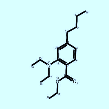 CCCCc1ccc(C(=O)OCC)c(N(CC)CC)c1